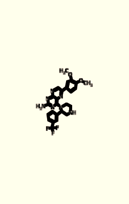 COc1ccc(-c2cnc3nc(N)nc(N4CCNCC4c4cccc(C(F)(F)F)c4)c3n2)cc1OC